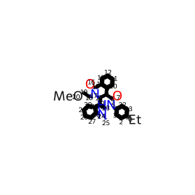 CCc1ccc(NC(=O)C2c3ccccc3C(=O)N(CCOC)C2c2cn(C)c3ccccc23)cc1